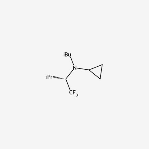 CCC(C)N(C1CC1)[C@@H](C(C)C)C(F)(F)F